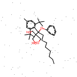 CCCCCCCCC(Oc1ccccc1)(c1c(C(C)(C)C)cc(C)cc1C(C)(C)C)C(CO)(CO)CO